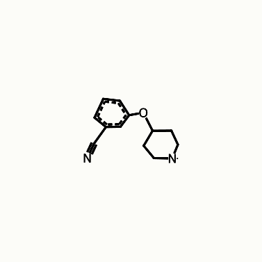 N#Cc1cccc(OC2CC[N]CC2)c1